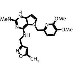 CNC1=NC(NCc2cc(C)on2)=C2C(C=CN2Cc2ccc(OC)c(OC)n2)N1